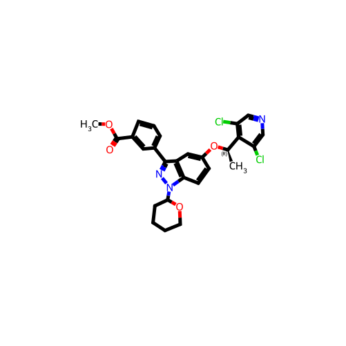 COC(=O)c1cccc(-c2nn(C3CCCCO3)c3ccc(O[C@H](C)c4c(Cl)cncc4Cl)cc23)c1